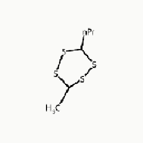 CCCC1SSC(C)SS1